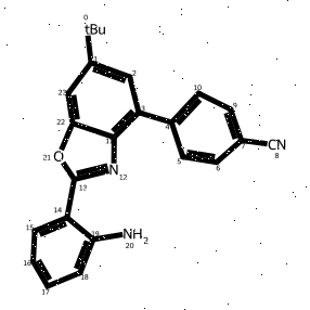 CC(C)(C)c1cc(-c2ccc(C#N)cc2)c2nc(-c3ccccc3N)oc2c1